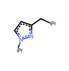 CC(C)Cc1c[c]n(C(C)C)n1